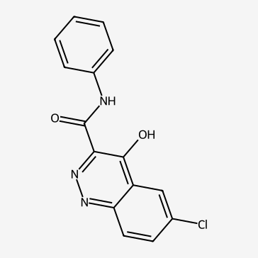 O=C(Nc1ccccc1)c1nnc2ccc(Cl)cc2c1O